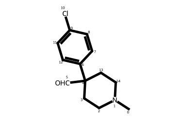 CN1CCC(C=O)(c2ccc(Cl)cc2)CC1